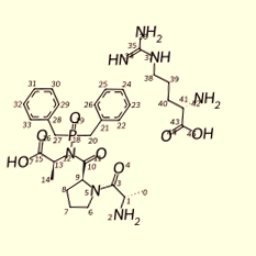 C[C@H](N)C(=O)N1CCC[C@H]1C(=O)N([C@@H](C)C(=O)O)P(=O)(Cc1ccccc1)Cc1ccccc1.N=C(N)NCCC[C@H](N)C(=O)O